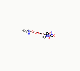 Cn1c(=O)n(C2CCC(=O)NC2=O)c2cccc(CCOCCOCCOCCOCCNC(=O)O)c21